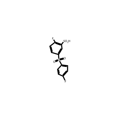 O=S(=O)(O)c1cc(S(=O)(=O)c2ccc(F)cc2)ccc1F